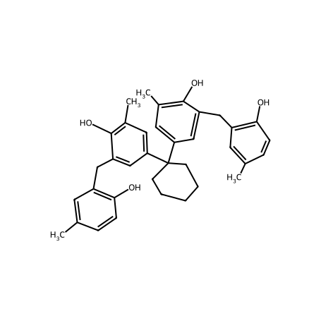 Cc1ccc(O)c(Cc2cc(C3(c4cc(C)c(O)c(Cc5cc(C)ccc5O)c4)CCCCC3)cc(C)c2O)c1